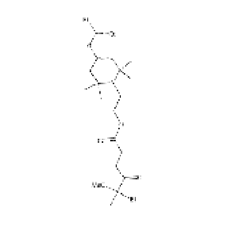 CCC(CC)OC1CC(C)(C)N(CCOC(=O)CCC(=O)C(C)(CC)OC)C(C)(C)C1